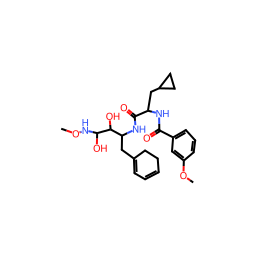 CONC(O)C(O)C(CC1=CC=CCC1)NC(=O)C(CC1CC1)NC(=O)c1cccc(OC)c1